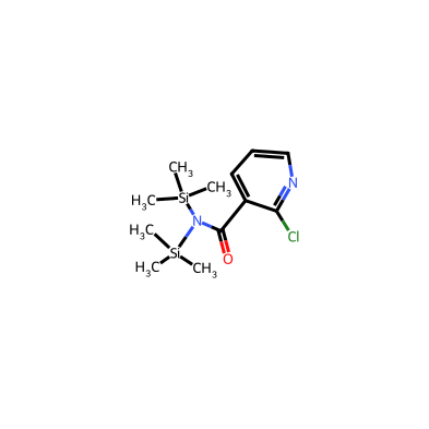 C[Si](C)(C)N(C(=O)c1cccnc1Cl)[Si](C)(C)C